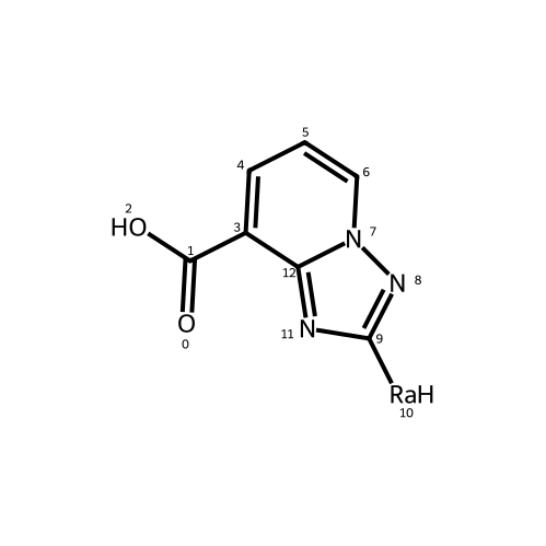 O=C(O)c1cccn2n[c]([RaH])nc12